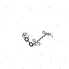 CN(C(=O)C(=O)CCCCCCC(N)=O)c1cccc(-c2ccc(OC(F)(F)F)cc2)c1